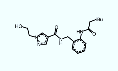 CCC(C)CC(=O)Nc1ccccc1CNC(=O)c1cnn(CCO)c1